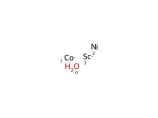 O.[Co].[Ni].[Sc]